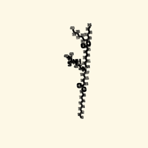 CCCCCCCCCCOC(=O)CCCCCN(CCCCCCCC(=O)OC(CCCCC)CCCCCC)CCCNC(=S)N(C)C